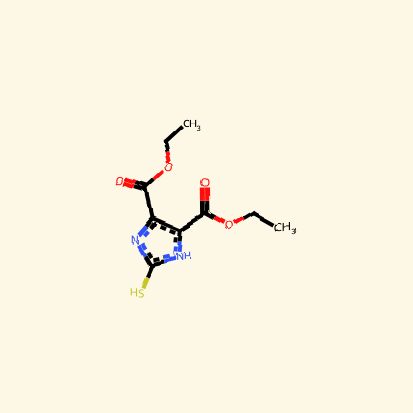 CCOC(=O)c1nc(S)[nH]c1C(=O)OCC